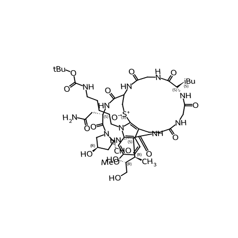 CC[C@H](C)[C@@H]1NC(=O)CNC(=O)C2Cc3c(n(CCCCCNC(=O)OC(C)(C)C)c4cc(OC)ccc34)[S@+]([O-])CC(NC(=O)CNC1=O)C(=O)N[C@@H](CC(N)=O)C(=O)N1C[C@H](O)C[C@]1(C=O)N[C@@H]([C@@H](C)[C@@H](O)CO)C(=O)N2